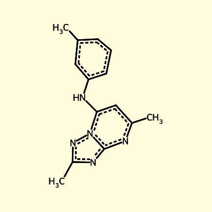 Cc1cccc(Nc2cc(C)nc3nc(C)nn23)c1